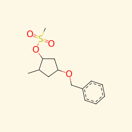 CC1CC(OCc2ccccc2)CC1OS(C)(=O)=O